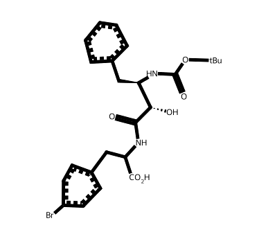 CC(C)(C)OC(=O)N[C@H](Cc1ccccc1)[C@H](O)C(=O)NC(Cc1ccc(Br)cc1)C(=O)O